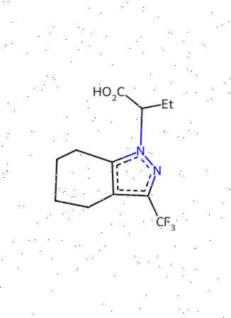 CCC(C(=O)O)n1nc(C(F)(F)F)c2c1CCCC2